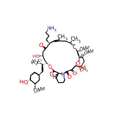 CO[C@H]1C[C@@H](C)[C@@]2(O)O[C@H]1[C@H](OC)C[C@H](C)C/C(C)=C\[C@H](CCCN)C(=O)C[C@H](O)[C@@H](C)[C@@H](/C(C)=C/[C@@H]1CC[C@@H](O)[C@H](OC)C1)OC(=O)[C@H]1CCCCN1C(=O)C2=O